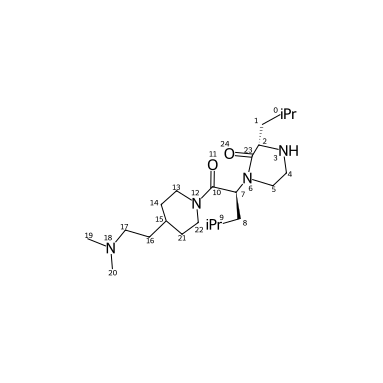 CC(C)C[C@@H]1NCCN([C@@H](CC(C)C)C(=O)N2CCC(CCN(C)C)CC2)C1=O